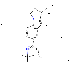 CCC/C(=N\C(C)(C)C)c1ccc2c(c1)cc1n2CCC1C